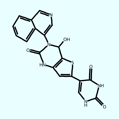 O=C1Nc2cc(-c3c[nH]c(=O)[nH]c3=O)sc2C(O)N1c1cncc2ccccc12